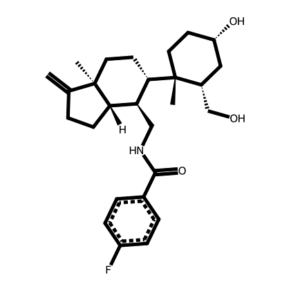 C=C1CC[C@H]2[C@H](CNC(=O)c3ccc(F)cc3)[C@@H]([C@]3(C)CC[C@H](O)C[C@@H]3CO)CC[C@]12C